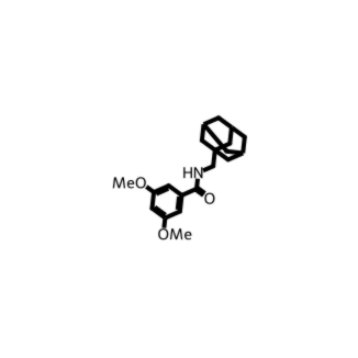 COc1cc(OC)cc(C(=O)NCC23CC4CC(CC(C4)C2)C3)c1